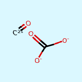 O=C([O-])[O-].[C+2]=O